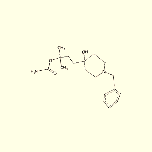 CC(C)(CCC1(O)CCN(Cc2ccccc2)CC1)OC(N)=O